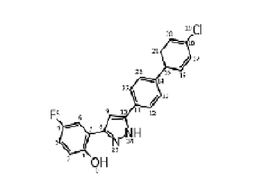 Oc1ccc(F)cc1-c1cc(-c2ccc(C3C=CC(Cl)=CC3)cc2)[nH]n1